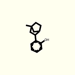 CC12CCC(C1)C(c1ccccc1O)C2